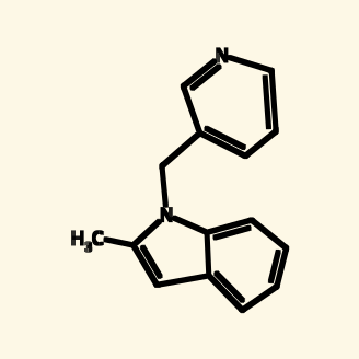 Cc1cc2ccccc2n1Cc1cccnc1